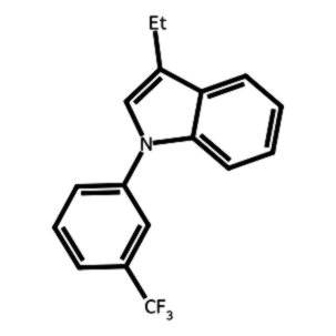 CCc1cn(-c2cccc(C(F)(F)F)c2)c2ccccc12